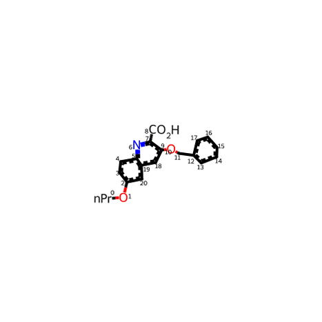 CCCOc1ccc2nc(C(=O)O)c(OCc3ccccc3)cc2c1